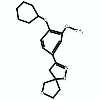 COc1cc(C2=NOC3(CCOC3)C2)ccc1OC1CCCCC1